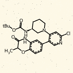 CC1Oc2ccc(-c3cnc(Cl)cc3N3CCC[C@H](NC(=O)OC(C)(C)C)C3)cc2NC1=O